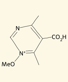 CO[n+]1cnc(C)c(C(=O)O)c1C